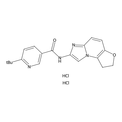 CC(C)(C)c1ccc(C(=O)Nc2cn3c4c(ccc3n2)OCC4)cn1.Cl.Cl